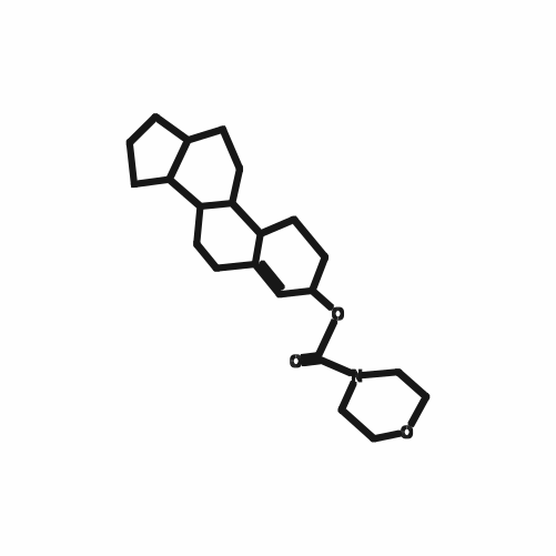 O=C(OC1C=C2CCC3C4CCCC4CCC3C2CC1)N1CCOCC1